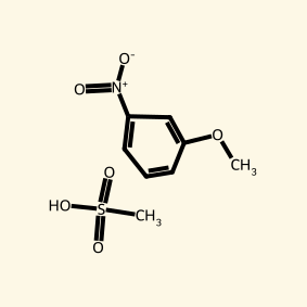 COc1cccc([N+](=O)[O-])c1.CS(=O)(=O)O